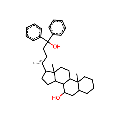 C[C@H](CCC(O)(c1ccccc1)c1ccccc1)C1CCC2C3C(O)CC4CCCCC4(C)C3CCC21C